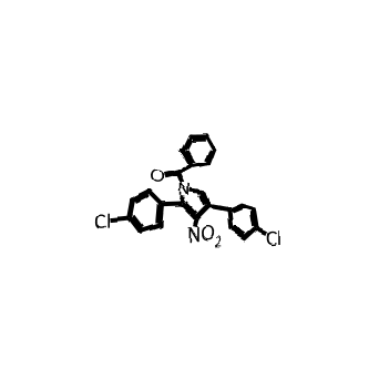 O=C(c1ccccc1)n1cc(-c2ccc(Cl)cc2)c([N+](=O)[O-])c1-c1ccc(Cl)cc1